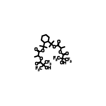 CC(OC(=O)C(O)(C(F)(F)F)C(F)(F)F)C(=O)OC(C)(C)C1CCCCC1C(C)(C)OC(=O)C(C)OC(=O)C(O)(C(F)(F)F)C(F)(F)F